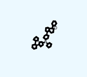 c1ccc(-c2ccccc2-c2ccc(N(c3ccccc3)c3ccc(-c4cccc5c4ccc4oc6ccccc6c45)cc3)cc2)cc1